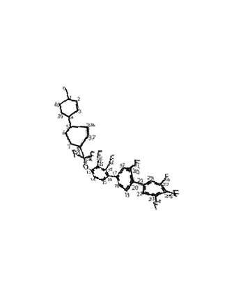 CC1CCC(C2CCC(C(F)(F)Oc3ccc(-c4ccc(-c5cc(F)c(F)c(F)c5)c(F)c4)c(F)c3F)CC2)CC1